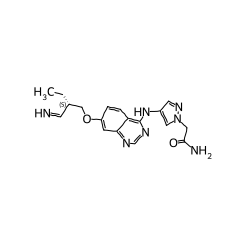 CC[C@@H](C=N)COc1ccc2c(Nc3cnn(CC(N)=O)c3)ncnc2c1